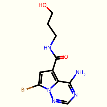 Nc1ncnn2c(Br)cc(C(=O)NCCCO)c12